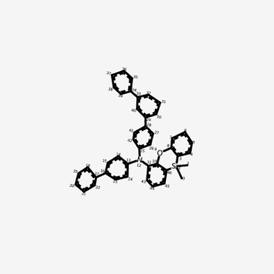 C[Si]1(C)c2ccccc2Oc2c(N(c3ccc(-c4ccccc4)cc3)c3ccc(-c4cccc(-c5ccccc5)c4)cc3)cccc21